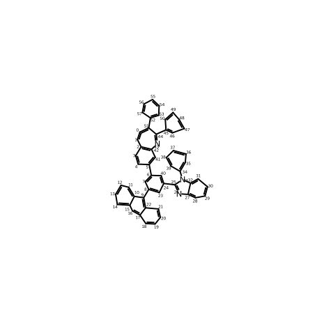 C1=Cc2ccc(-c3cc(-c4c5ccccc5cc5ccccc45)cc(-c4nc5ccccc5n4-c4ccccc4)c3)cc2N=C(c2ccccc2)C=1c1ccccc1